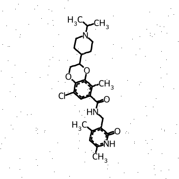 Cc1cc(C)c(CNC(=O)c2cc(Cl)c3c(c2C)OC(C2CCN(C(C)C)CC2)CO3)c(=O)[nH]1